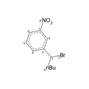 CCCCC(Br)c1cccc([N+](=O)[O-])c1